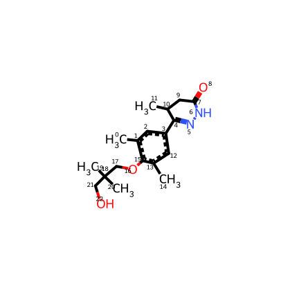 Cc1cc(C2=NNC(=O)CC2C)cc(C)c1OCC(C)(C)CO